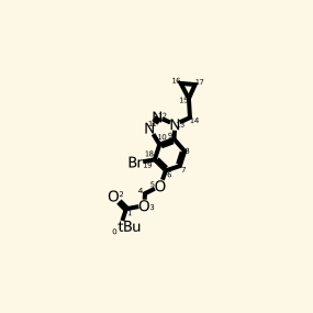 CC(C)(C)C(=O)OCOc1ccc2c(nnn2CC2CC2)c1Br